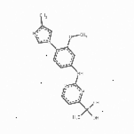 COc1cc(Nc2nccc(C(C)(C)O)n2)ccc1-n1cnc(C)c1